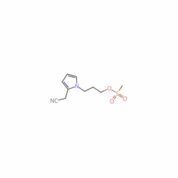 CS(=O)(=O)OCCCn1cccc1CC#N